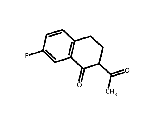 CC(=O)C1CCc2ccc(F)cc2C1=O